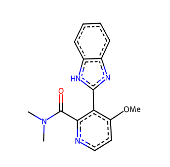 COc1ccnc(C(=O)N(C)C)c1-c1nc2ccccc2[nH]1